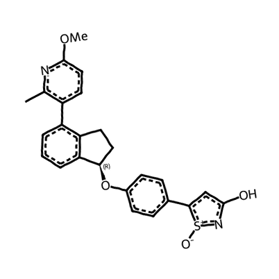 COc1ccc(-c2cccc3c2CC[C@H]3Oc2ccc(-c3cc(O)n[s+]3[O-])cc2)c(C)n1